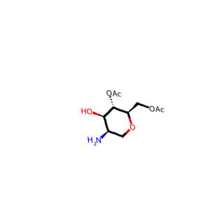 CC(=O)OC[C@H]1O[CH][C@@H](N)[C@@H](O)[C@@H]1OC(C)=O